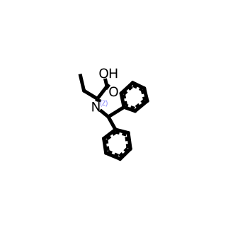 CC/C(=N/C(c1ccccc1)c1ccccc1)C(=O)O